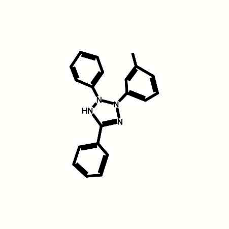 Cc1cccc(N2N=C(c3ccccc3)NN2c2ccccc2)c1